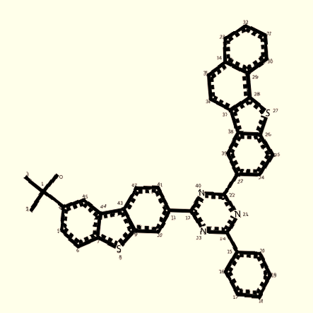 CC(C)(C)c1ccc2sc3cc(-c4nc(-c5ccccc5)nc(-c5ccc6sc7c8ccccc8ccc7c6c5)n4)ccc3c2c1